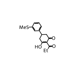 CCC(=O)C1=C(O)CC(c2cccc(SC)c2)CC1=O